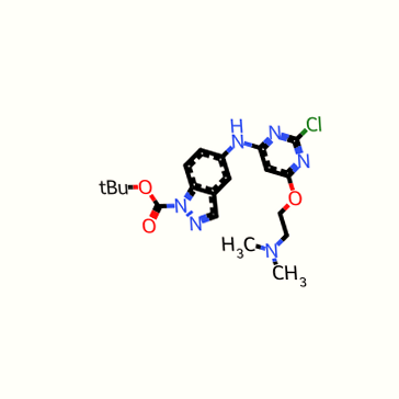 CN(C)CCOc1cc(Nc2ccc3c(cnn3C(=O)OC(C)(C)C)c2)nc(Cl)n1